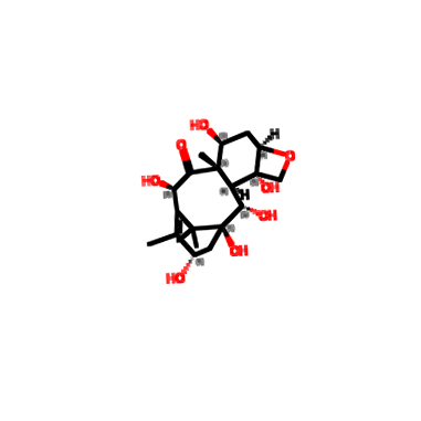 CC1=C2[C@@H](O)C(=O)[C@@]3(C)[C@H]([C@H](O)[C@](O)(C[C@@H]1O)C2(C)C)[C@]1(O)CO[C@@H]1C[C@@H]3O